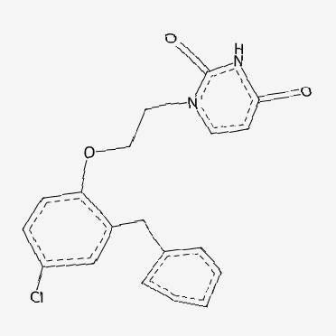 O=c1ccn(CCOc2ccc(Cl)cc2Cc2ccccc2)c(=O)[nH]1